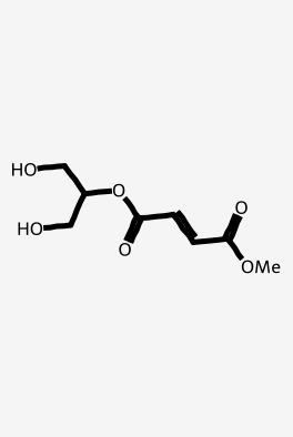 COC(=O)/C=C/C(=O)OC(CO)CO